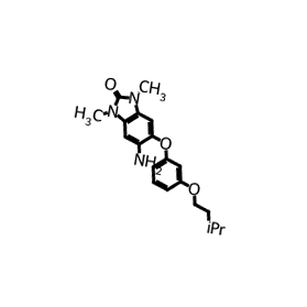 CC(C)CCOc1cccc(Oc2cc3c(cc2N)n(C)c(=O)n3C)c1